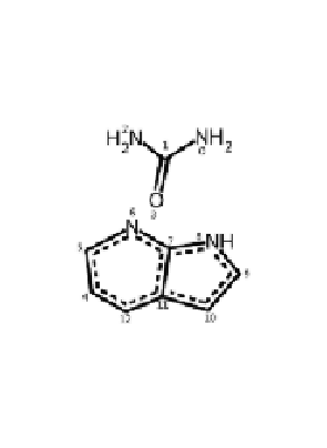 NC(N)=O.c1cnc2[nH]ccc2c1